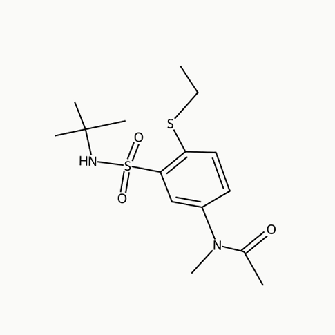 CCSc1ccc(N(C)C(C)=O)cc1S(=O)(=O)NC(C)(C)C